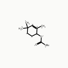 CCCCC(=O)OC1CCC(C)(C)C=C1C